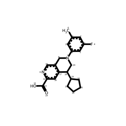 Cc1cc(F)cc(N2Cc3cnc(C(=O)O)cc3C(C3CCCC3)C2)c1